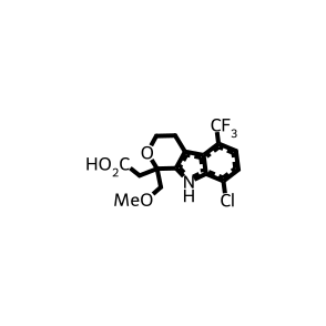 COCC1(CC(=O)O)OCCc2c1[nH]c1c(Cl)ccc(C(F)(F)F)c21